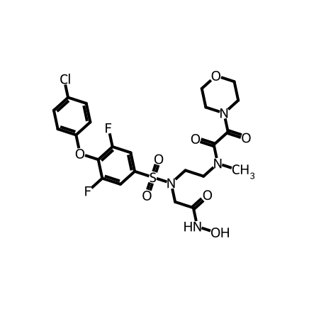 CN(CCN(CC(=O)NO)S(=O)(=O)c1cc(F)c(Oc2ccc(Cl)cc2)c(F)c1)C(=O)C(=O)N1CCOCC1